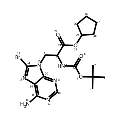 CC(C)(C)OC(=O)NC(Cn1c(Br)nc2c(N)ncnc21)C(=O)OC1CCCC1